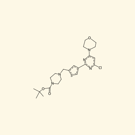 CC(C)(C)OC(=O)N1CCN(Cc2cc(-c3nc(Cl)cc(N4CCOCC4)n3)cs2)CC1